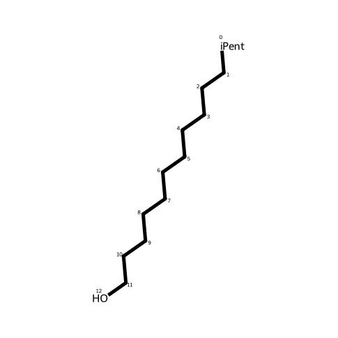 CCCC(C)CCCCCCCCCCCO